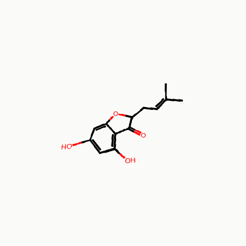 CC(C)=CCC1Oc2cc(O)cc(O)c2C1=O